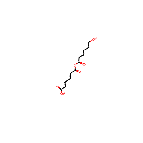 O=C(O)CCCCC(=O)OC(=O)CCCCCO